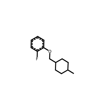 CC1CCC(COc2ccccc2F)CC1